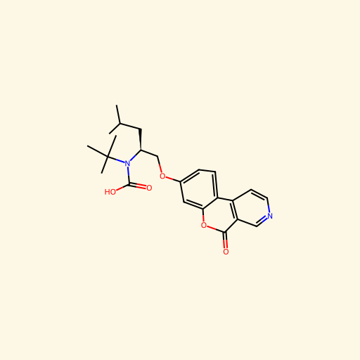 CC(C)C[C@@H](COc1ccc2c(c1)oc(=O)c1cnccc12)N(C(=O)O)C(C)(C)C